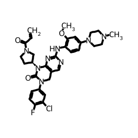 C=CC(=O)N1CC[C@H](N2C(=O)N(c3ccc(F)c(Cl)c3)Cc3cnc(Nc4ccc(N5CCN(C)CC5)cc4OC)nc32)C1